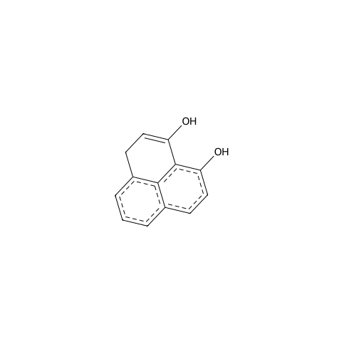 OC1=CCc2cccc3ccc(O)c1c23